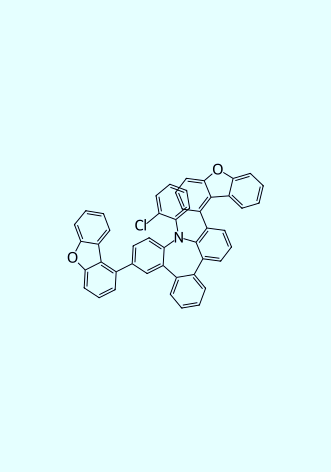 Clc1ccccc1N1c2ccc(-c3cccc4oc5ccccc5c34)cc2-c2ccccc2-c2cccc(-c3cccc4oc5ccccc5c34)c21